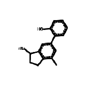 CCCCC1CCc2c(C)cc(-c3ccccc3O)cc21